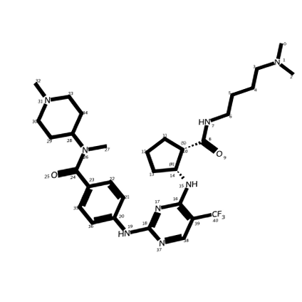 CN(C)CCCCNC(=O)[C@H]1CCC[C@H]1Nc1nc(Nc2ccc(C(=O)N(C)C3CCN(C)CC3)cc2)ncc1C(F)(F)F